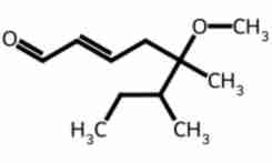 CCC(C)C(C)(C/C=C/C=O)OC